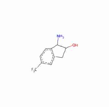 NC1c2ccc(C(F)(F)F)cc2CC1O